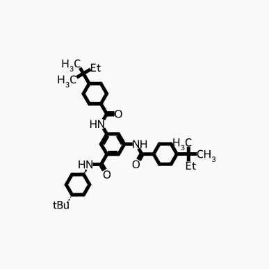 CCC(C)(C)C1CCC(C(=O)Nc2cc(NC(=O)C3CCC(C(C)(C)CC)CC3)cc(C(=O)N[C@H]3CC[C@@H](C(C)(C)C)CC3)c2)CC1